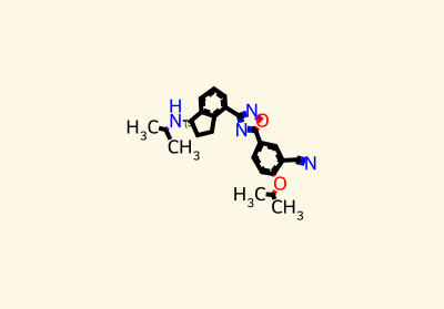 CC(C)N[C@H]1CCc2c(-c3noc(-c4ccc(OC(C)C)c(C#N)c4)n3)cccc21